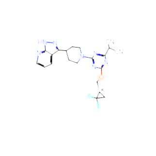 N#CC(C#N)c1nc(OC[C@H]2CC2(F)F)nc(N2CCC(c3n[nH]c4ncccc34)CC2)n1